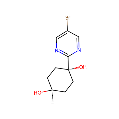 C[C@]1(O)CC[C@@](O)(c2ncc(Br)cn2)CC1